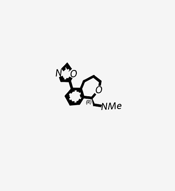 CNC[C@@H]1OCCCc2c(-c3cnco3)cccc21